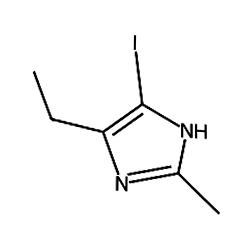 CCc1nc(C)[nH]c1I